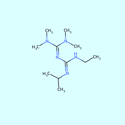 CCN/C(N=C(N(C)C)N(C)C)=N/C(C)C